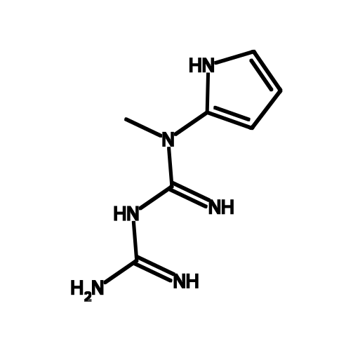 CN(C(=N)NC(=N)N)c1ccc[nH]1